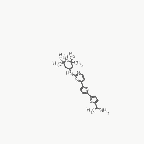 CC(N)c1ccc(-c2ccc(-c3ccnc(NC4CC(C)(C)NC(C)(C)C4)n3)s2)s1